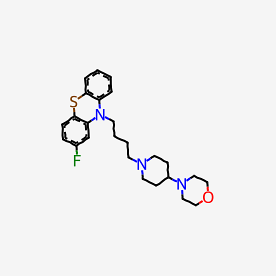 Fc1ccc2c(c1)N(CCCCN1CCC(N3CCOCC3)CC1)c1ccccc1S2